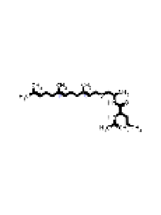 C=C(C)NC(CCC)C(=O)NC(C)CSC/C=C(\C)CC/C=C(\C)CCC=C(C)C